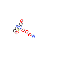 COc1cccc(CN(Cc2cccc(OC)c2)c2nc(COCCOCCOCCN(C)C)cs2)c1